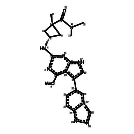 COc1nc(N[C@H]2C[C@@](C)(C(=O)N(C)C)C2)nc2[nH]cc(-c3ccc4nncn4c3)c12